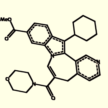 COC(=O)c1ccc2c(C3CCCCC3)c3n(c2c1)C=C(C(=O)N1CCOCC1)Cc1ccncc1-3